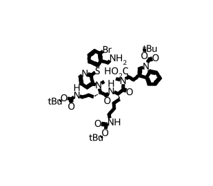 CN(C(=O)[C@H](CCCCNC(=O)OC(C)(C)C)NC(=O)[C@H](CCCNC(=O)OC(C)(C)C)N(C)c1cccnc1Sc1cccc(Br)c1CN)[C@@H](Cc1cn(C(=O)OC(C)(C)C)c2ccccc12)C(=O)O